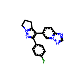 Fc1ccc(-c2nn3c(c2-c2ccc4ncnn4c2)CCC3)cc1